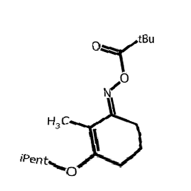 CCCC(C)OC1=C(C)C(=NOC(=O)C(C)(C)C)CCC1